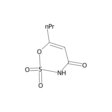 CCCC1=CC(=O)NS(=O)(=O)O1